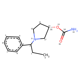 CCC(c1ccccc1)N1CC[C@H](OC(N)=O)C1